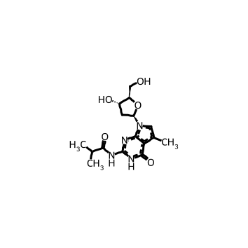 Cc1cn([C@H]2C[C@H](O)[C@@H](CO)O2)c2nc(NC(=O)C(C)C)[nH]c(=O)c12